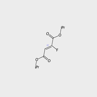 CC(C)OC(=O)/C=C(\F)C(=O)OC(C)C